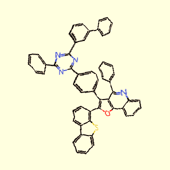 c1ccc(-c2cccc(-c3nc(-c4ccccc4)nc(-c4ccc(-c5c(-c6cccc7c6sc6ccccc67)oc6c5c(-c5ccccc5)nc5ccccc56)cc4)n3)c2)cc1